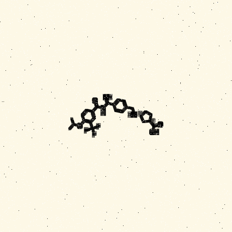 CC(C)Oc1ccc(C(=O)NC(=N)c2ccc(CN[C@@H]3CC[C@@H](C(=O)O)C3)cc2)cc1C(F)(F)F